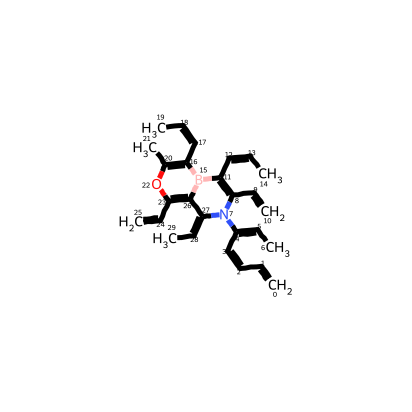 C=C/C=C\C(=C/C)N1C(C=C)=C(/C=C\C)B2C(/C=C\C)=C(C)OC(C=C)=C2/C1=C\C